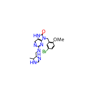 COc1ccc(Br)cc1Cn1c(=O)[nH]c2cnc(NCC3N=CNC3C)nc21